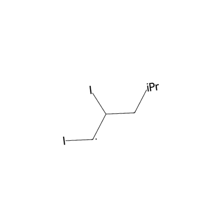 CC(C)CC(I)[CH]I